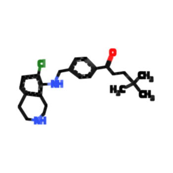 CC(C)(C)CCC(=O)c1ccc(CNc2c(Cl)ccc3c2CCNCC3)cc1